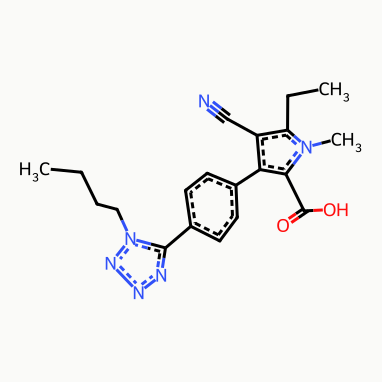 CCCCn1nnnc1-c1ccc(-c2c(C#N)c(CC)n(C)c2C(=O)O)cc1